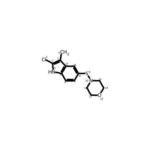 Cc1c(Cl)[nH]c2ccc(SN3CCOCC3)cc12